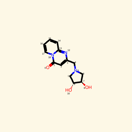 O=c1cc(CN2C[C@@H](O)[C@H](O)C2)nc2ccccn12